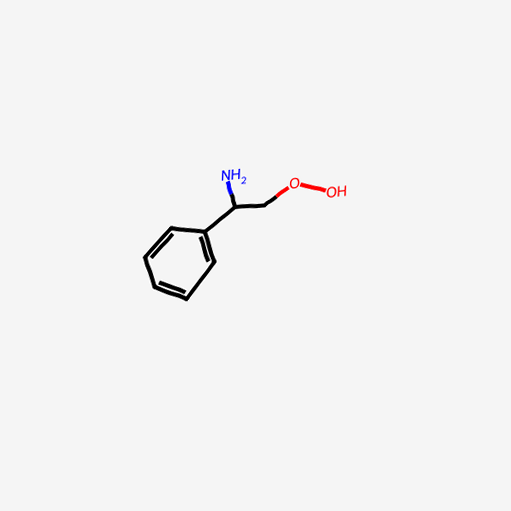 NC(COO)c1ccccc1